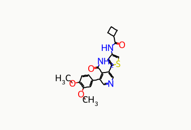 COc1ccc(-c2cncc(-c3cc(NC(=O)C4CCC4)cs3)c2C(N)=O)cc1OC